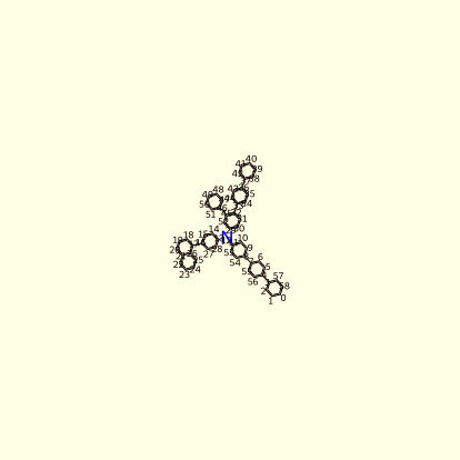 c1ccc(-c2ccc(-c3ccc(N(c4ccc(-c5cccc6ccccc56)cc4)c4ccc(-c5ccc(-c6ccccc6)cc5)c(-c5ccccc5)c4)cc3)cc2)cc1